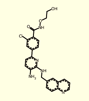 Nc1ccc(-c2ccc(C(=O)NOCCO)c(Cl)c2)nc1NCc1ccc2ncccc2c1